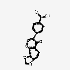 O=C(O)c1ccc(-c2coc3c4c(ccc3c2=O)OCO4)cc1